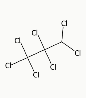 ClC(Cl)C(Cl)(Cl)C(Cl)(Cl)Cl